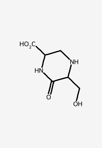 O=C(O)C1CNC(CO)C(=O)N1